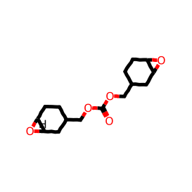 O=C(OCC1CCC2OC2C1)OCC1CCC2O[C@H]2C1